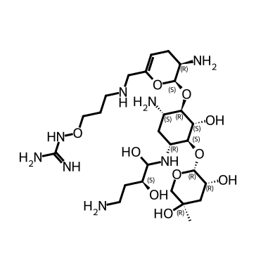 C[C@]1(O)CO[C@H](O[C@@H]2[C@@H](O)[C@H](O[C@H]3OC(CNCCCONC(=N)N)=CC[C@H]3N)[C@@H](N)C[C@H]2NC(O)[C@@H](O)CCN)[C@H](O)C1